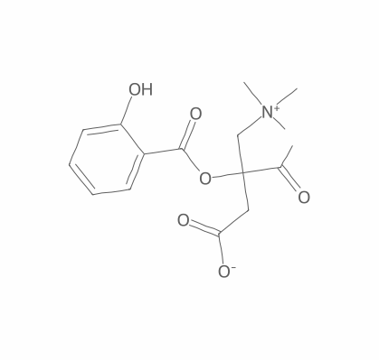 CC(=O)C(CC(=O)[O-])(C[N+](C)(C)C)OC(=O)c1ccccc1O